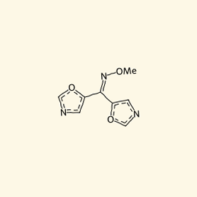 CON=C(c1cnco1)c1cnco1